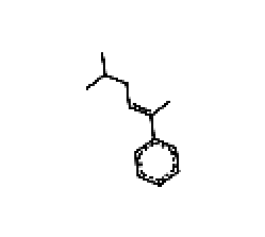 CC(=CCC(C)C)c1ccccc1